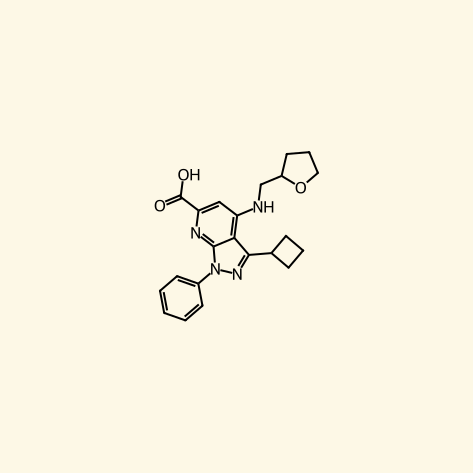 O=C(O)c1cc(NCC2CCCO2)c2c(C3CCC3)nn(-c3ccccc3)c2n1